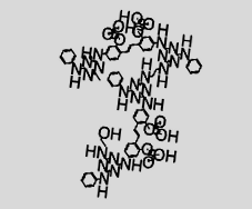 Cc1nc(Nc2ccccc2)nc(Nc2ccc(/C=C/c3ccc(Nc4nc(NCCNc5nc(Nc6ccccc6)nc(Nc6ccc(/C=C/c7ccc(Nc8nc(NCCO)nc(Nc9ccccc9)n8)cc7OS(=O)O)c(OS(=O)O)c6)n5)nc(Nc5ccccc5)n4)cc3OS(=O)O)c(OS(=O)O)c2)n1